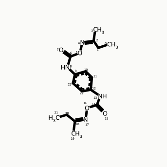 CCC(C)=NOC(=O)Nc1ccc(NC(=O)ON=C(C)CC)cc1